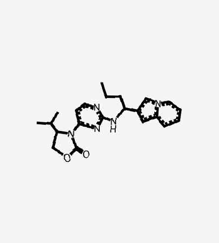 CCCC(Nc1nccc(N2C(=O)OCC2C(C)C)n1)c1cc2ccccn2c1